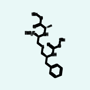 CCOC(=O)[C@H](CSC[C@H](Cc1ccccc1)NC(=O)OC(C)(C)C)N[C@@H](C)C(=O)OC(C)(C)C